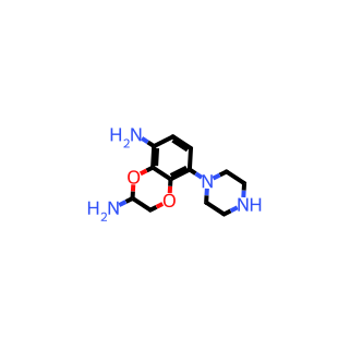 Nc1ccc(N2CCNCC2)c2c1OC(N)CO2